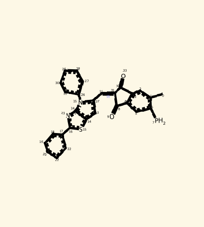 Cc1cc2c(cc1P)C(=O)/C(=C\c1cc3sc(-c4ccccc4)nc3n1-c1ccccc1)C2=O